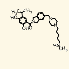 CNCCCCCN1CCN(Cc2ccc3c(c2)CN(C(=O)c2cc(C(C)C)c(O)cc2O)C3)CC1